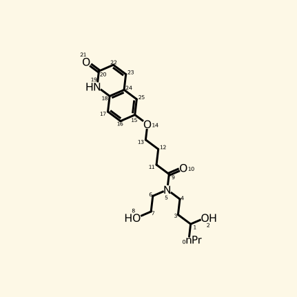 CCCC(O)CCN(CCO)C(=O)CCCOc1ccc2[nH]c(=O)ccc2c1